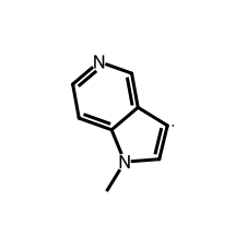 Cn1c[c]c2cnccc21